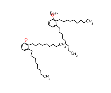 CCCCCCCCCc1cccc([O-])c1CCCCCCCCC.CCCCCCCCCc1cccc([O-])c1CCCCCCCCC.[Ba+2]